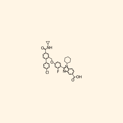 O=C(O)c1ccc2c(c1)nc(-c1ccc(OCc3cc(C(=O)NC4CC4)ccc3-c3ccc(Cl)cc3)cc1F)n2C1CCCCC1